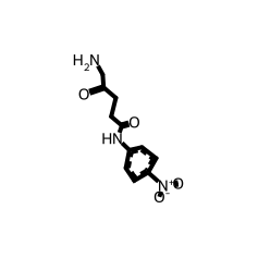 NCC(=O)CCC(=O)Nc1ccc([N+](=O)[O-])cc1